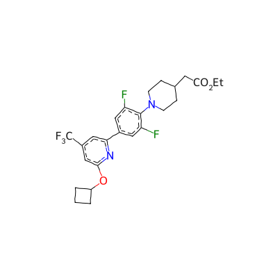 CCOC(=O)CC1CCN(c2c(F)cc(-c3cc(C(F)(F)F)cc(OC4CCC4)n3)cc2F)CC1